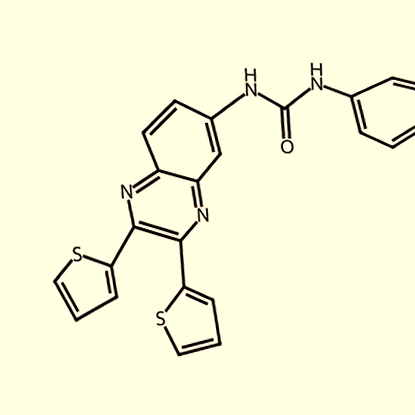 O=C(Nc1ccccc1)Nc1ccc2nc(-c3cccs3)c(-c3cccs3)nc2c1